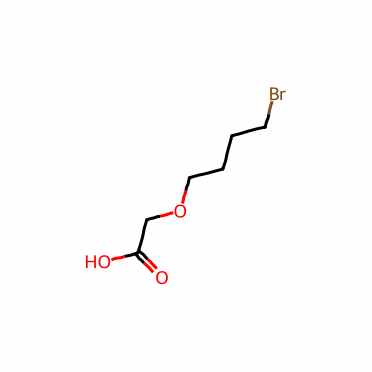 O=C(O)COCCCCBr